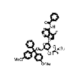 COc1ccc(C(OC[C@H]2O[C@@H](n3cc(F)c4c(NC(=O)c5ccccc5)ncnc43)[C@H](O[Si](C)(C)C(C)(C)C)[C@@H]2O)(c2ccccc2)c2ccc(OC)cc2)cc1